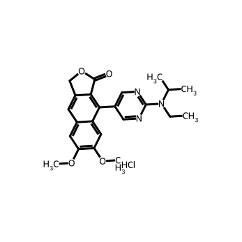 CCN(c1ncc(-c2c3c(cc4cc(OC)c(OC)cc24)COC3=O)cn1)C(C)C.Cl